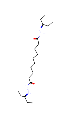 CCC(CC)=NNC(=O)CCCCCCCCC(=O)NN=C(CC)CC